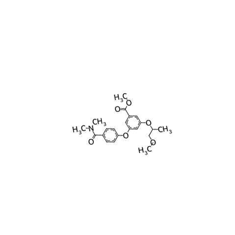 COCC(C)Oc1cc(Oc2ccc(C(=O)N(C)C)cc2)cc(C(=O)OC)c1